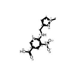 Cn1ccc(CNc2ncc(C(=O)O)cc2[N+](=O)[O-])n1